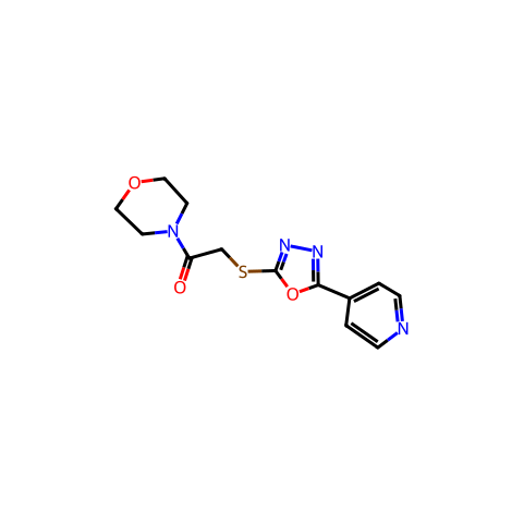 O=C(CSc1nnc(-c2ccncc2)o1)N1CCOCC1